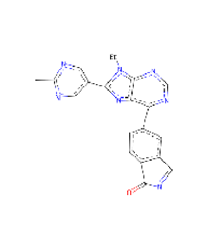 CCn1c(-c2cnc(C)nc2)nc2c(-c3ccc4c(c3)C=NC4=O)ncnc21